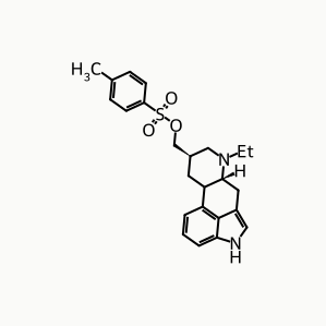 CCN1C[C@H](COS(=O)(=O)c2ccc(C)cc2)CC2c3cccc4[nH]cc(c34)C[C@H]21